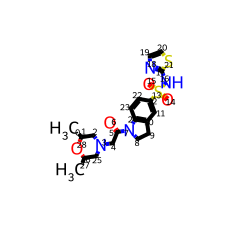 CC1CN(CC(=O)N2CCc3cc(S(=O)(=O)Nc4nccs4)ccc32)CC(C)O1